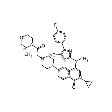 C[C@@H]1COCCN1C(=O)CN1CCN(c2ccc3c(=O)n(C4CC4)cc(N(C)c4nc(-c5ccc(F)cc5)c(C#N)s4)c3c2)CC1